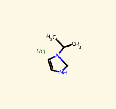 CC(C)N1C=CNC1.Cl